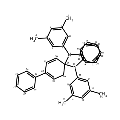 Cc1cc(C)cc(N(c2ccccc2)C2(N(c3ccccc3)c3cc(C)cc(C)c3)C=CC(c3ccccc3)=CC2)c1